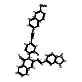 COc1ccc2cc(C#Cc3ccc(-n4c(/C=C/c5ccc6c(c5)OCO6)nc5ccccc5c4=O)c(C)c3)ccc2c1